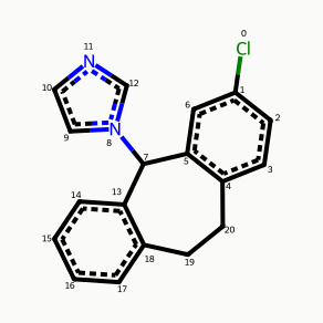 Clc1ccc2c(c1)C(n1ccnc1)c1ccccc1CC2